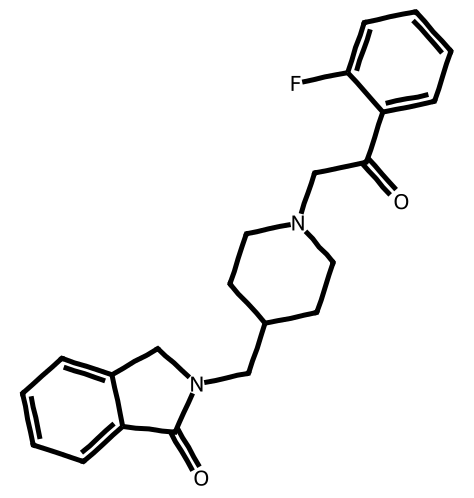 O=C(CN1CCC(CN2Cc3ccccc3C2=O)CC1)c1ccccc1F